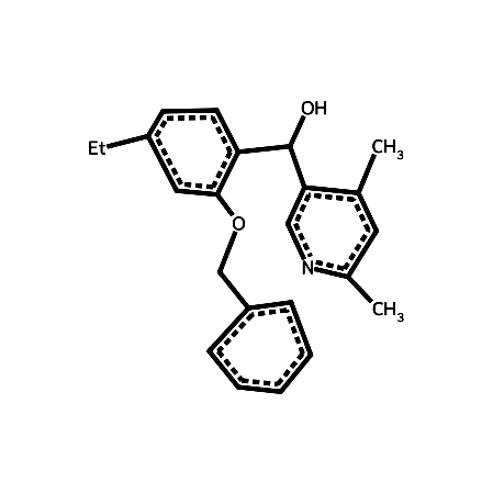 CCc1ccc(C(O)c2cnc(C)cc2C)c(OCc2ccccc2)c1